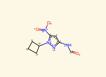 O=CNc1cc([N+](=O)[O-])n(C2CCC2)n1